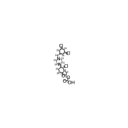 O=C(O)Oc1cc2c(Cl)c(N3CCN(Cc4cc(Cl)cc(Cl)c4)CC3)ccc2o1